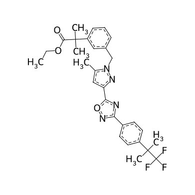 CCOC(=O)C(C)(C)c1cccc(Cn2nc(-c3nc(-c4ccc(C(C)(C)C(F)(F)F)cc4)no3)cc2C)c1